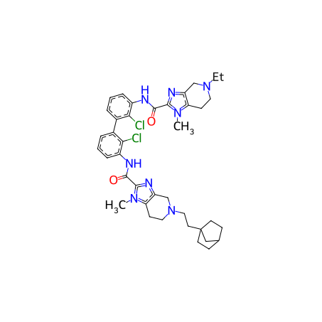 CCN1CCc2c(nc(C(=O)Nc3cccc(-c4cccc(NC(=O)c5nc6c(n5C)CCN(CCC57CCC(CC5)C7)C6)c4Cl)c3Cl)n2C)C1